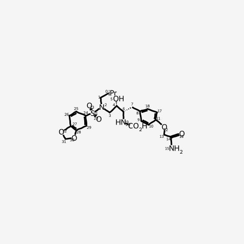 CC(C)CN(C[C@H](O)[C@H](Cc1ccc(OCC(N)=O)cc1)NC(=O)O)S(=O)(=O)c1ccc2c(c1)OCO2